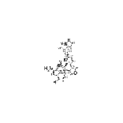 N#Cc1c(N)sc2c(F)ccc(-c3c4c(c5ccc(OCC67CCCN6CCC7)nc5c3Cl)COC4)c12